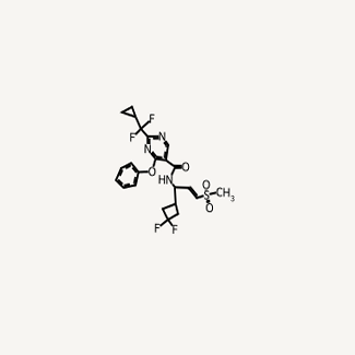 CS(=O)(=O)/C=C/C(NC(=O)c1cnc(C(F)(F)C2CC2)nc1Oc1ccccc1)C1CC(F)(F)C1